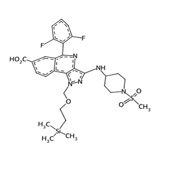 C[Si](C)(C)CCOCn1nc(NC2CCN(S(C)(=O)=O)CC2)c2nc(-c3c(F)cccc3F)c3cc(C(=O)O)ccc3c21